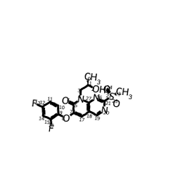 C[C@@H](O)Cn1c(=O)c(Oc2ccc(F)cc2F)cc2cnc(S(C)(=O)=O)nc21